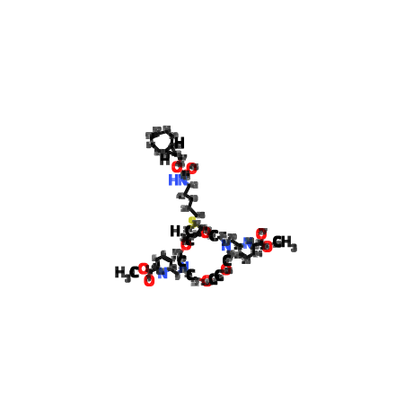 COC(=O)c1cccc(CN2CCOCCOCCN(Cc3cccc(C(=O)OC)n3)CCO[C@@](C)(CSCCCCCNC(=O)OC[C@H]3[C@@H]4CCC#CCC[C@@H]43)COCC2)n1